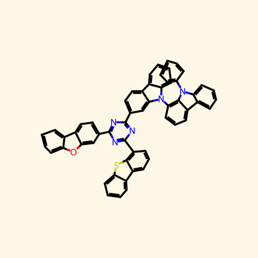 c1ccc(-n2c3ccccc3c3cccc(-n4c5ccccc5c5ccc(-c6nc(-c7ccc8c(c7)oc7ccccc78)nc(-c7cccc8c7sc7ccccc78)n6)cc54)c32)cc1